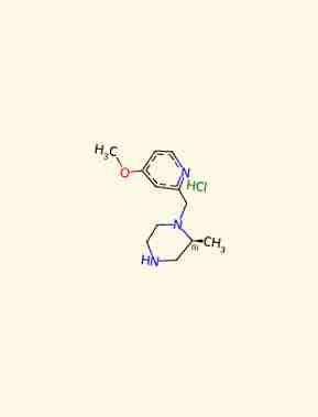 COc1ccnc(CN2CCNC[C@@H]2C)c1.Cl